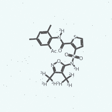 [2H]N(C(=O)c1sccc1S(=O)(=O)N([2H])c1onc(C([2H])([2H])[2H])c1C([2H])([2H])[2H])c1c(C)cc(C)cc1C(C)=O